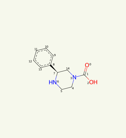 O=C(O)N1CCN[C@@H](c2ccccc2)C1